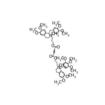 COc1ccc(CC2c3cc(OC)c(OC)cc3CC[N+]2(C)CCCOC(=O)C#CC(=O)OCCC[N+]2(C)CCc3cc(OC)c(OC)cc3C2c2cc(OC)c(OC)c(OC)c2)cc1OC